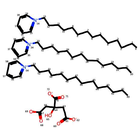 CCCCCCCCCCCCCC[n+]1ccccc1.CCCCCCCCCCCCCC[n+]1ccccc1.CCCCCCCCCCCCCC[n+]1ccccc1.O=C([O-])CC(O)(CC(=O)[O-])C(=O)[O-]